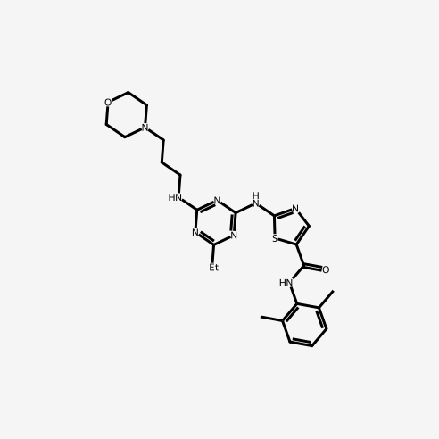 CCc1nc(NCCCN2CCOCC2)nc(Nc2ncc(C(=O)Nc3c(C)cccc3C)s2)n1